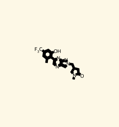 Cc1cc(C(F)(F)F)cc(O)c1-c1cnc2cn(CC3CC(=O)N(C)C3)nc2n1